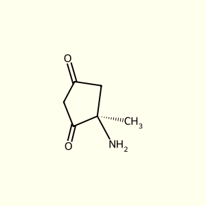 C[C@@]1(N)CC(=O)CC1=O